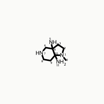 CN1CCC2(N)CNCCC12N